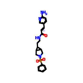 Nc1ccc(/C=C/C(=O)NCCC2C3CN(S(=O)(=O)c4ccccc4)CC23)cn1